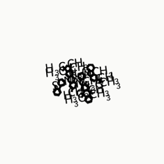 Cc1cc2c3c(c1)N(c1cc4c(cc1C)C(C)(C)c1ccccc1C4(C)C)c1cc(N4c5ccc(C(C)(C)C)cc5C5(C)CCCCC45C)ccc1B3c1cc3c(cc1N2c1ccc2sc4ccccc4c2c1)C(C)(C)CC3(C)C